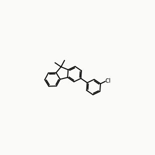 CC1(C)c2ccccc2-c2cc(-c3cccc(Cl)c3)ccc21